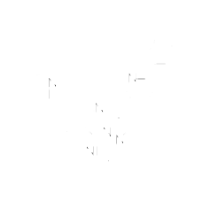 C/C=C\N[C@H](C)CCc1nc2c(-c3ccc(-c4ccccc4)nc3)cnn2c(N)c1C1CC1